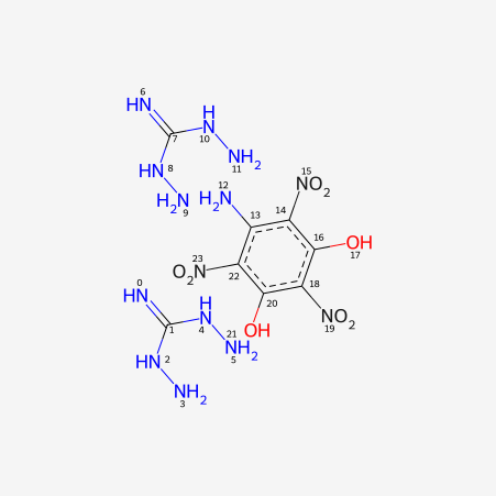 N=C(NN)NN.N=C(NN)NN.Nc1c([N+](=O)[O-])c(O)c([N+](=O)[O-])c(O)c1[N+](=O)[O-]